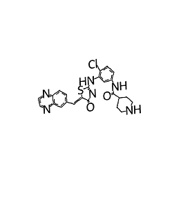 O=C1N=C(Nc2cc(NC(=O)C3CCNCC3)ccc2Cl)S/C1=C\c1ccc2nccnc2c1